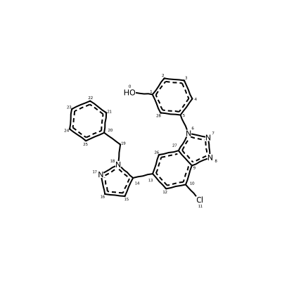 Oc1cccc(-n2nnc3c(Cl)cc(-c4ccnn4Cc4ccccc4)cc32)c1